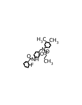 CCCS(=O)(=O)N(Cc1ccc(NC(=O)c2ccccc2F)cc1)c1ccc(C)c(C)c1